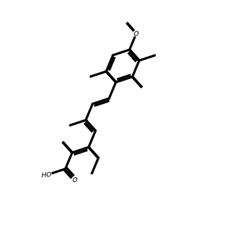 CCC(C=C(C)C=Cc1c(C)cc(OC)c(C)c1C)=C(C)C(=O)O